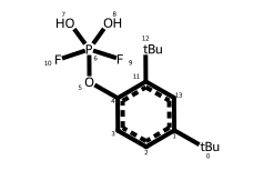 CC(C)(C)c1ccc(OP(O)(O)(F)F)c(C(C)(C)C)c1